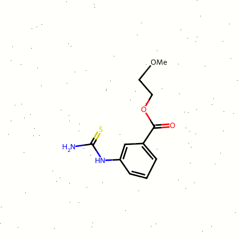 COCCOC(=O)c1cccc(NC(N)=S)c1